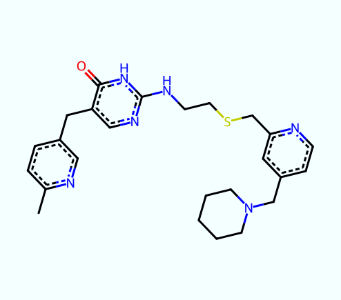 Cc1ccc(Cc2cnc(NCCSCc3cc(CN4CCCCC4)ccn3)[nH]c2=O)cn1